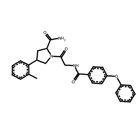 Cc1ccccc1C1CC(C(N)=O)N(C(=O)CNC(=O)c2ccc(Oc3ccccc3)cc2)C1